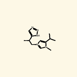 CC(C)c1c[n+](CC(C)c2cnn[nH]2)cn1C